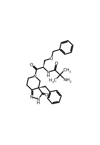 CC(C)(N)C(=O)N[C@H](COCc1ccccc1)C(=O)N1CCC2=NNC(=O)[C@@]2(Cc2ccccc2)C1